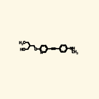 CCC(CO)COc1ccc(C#Cc2ccc(NC)cc2)cn1